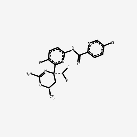 NC1=N[C@](c2nc(NC(=O)c3ccc(Cl)cn3)ccc2F)(C(F)F)C[C@@H](C(F)(F)F)O1